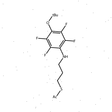 CC(=O)SCCCNc1c(F)c(F)c(OC(C)(C)C)c(F)c1F